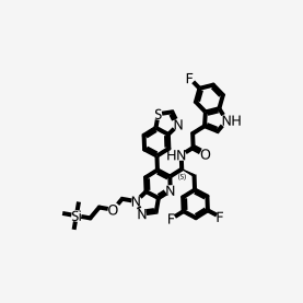 C[Si](C)(C)CCOCn1ncc2nc([C@H](Cc3cc(F)cc(F)c3)NC(=O)Cc3c[nH]c4ccc(F)cc34)c(-c3ccc4scnc4c3)cc21